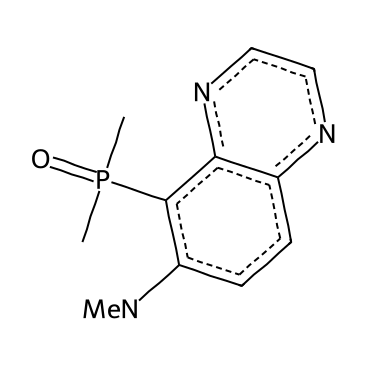 CNc1ccc2nccnc2c1P(C)(C)=O